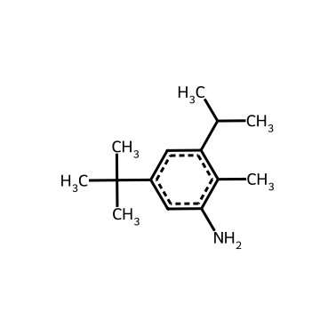 Cc1c(N)cc(C(C)(C)C)cc1C(C)C